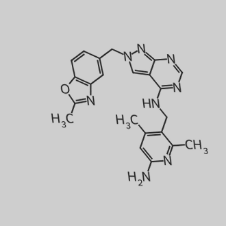 Cc1nc2cc(Cn3cc4c(NCc5c(C)cc(N)nc5C)ncnc4n3)ccc2o1